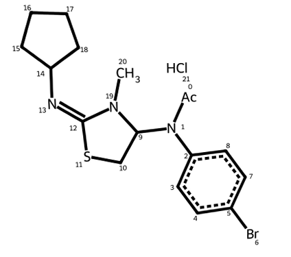 CC(=O)N(c1ccc(Br)cc1)C1CSC(=NC2CCCC2)N1C.Cl